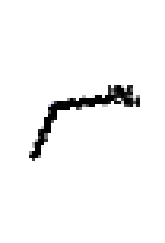 CCCCCCCC/C=C\CCCCCCCCOP(=S)(S)S